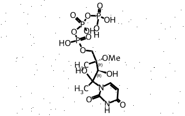 CO[C@](C)(COP(=O)(O)OP(=O)(O)OP(=O)(O)O)[C@@H](O)C(C)(O)n1ccc(=O)[nH]c1=O